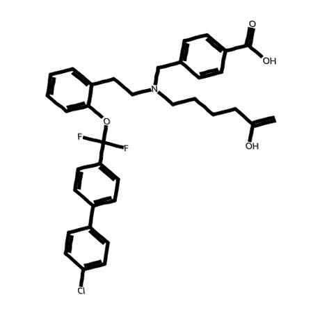 C=C(O)CCCCN(CCc1ccccc1OC(F)(F)c1ccc(-c2ccc(Cl)cc2)cc1)Cc1ccc(C(=O)O)cc1